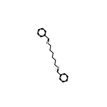 C(=N\CCCCCC/N=C/c1ccccc1)/c1ccccc1